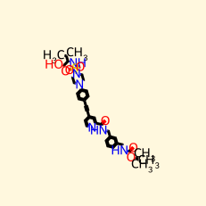 CC(C)[C@@H](NS(=O)(=O)N1CCN(c2ccc(C#Cc3ccnc(C(=O)NCc4cccc(CNC(=O)OC(C)(C)C)c4)c3)cc2)CC1)C(=O)O